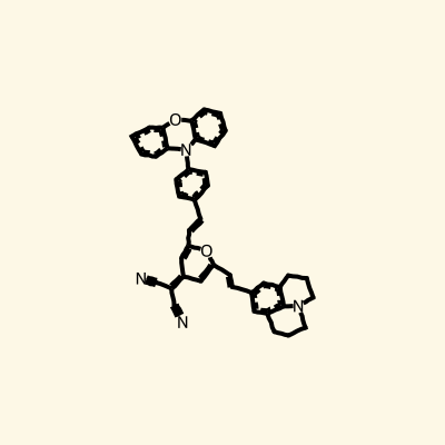 N#CC(C#N)=C1C=C(/C=C/c2ccc(N3c4ccccc4Oc4ccccc43)cc2)OC(/C=C/c2cc3c4c(c2)CCCN4CCC3)=C1